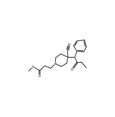 CCC(=O)N(c1ccccc1)C1(C#N)CCN(CCC(=O)OC)CC1